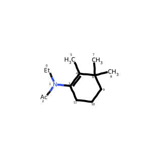 CCN(C(C)=O)C1=C(C)C(C)(C)CCC1